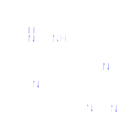 C1=NC(=C2N=CNN2)N=N1